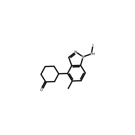 Cc1ccc2c(cnn2PI)c1C1CCCC(=O)C1